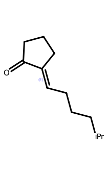 CC(C)CCC/C=C1\CCCC1=O